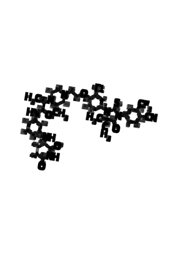 CCc1cc(N2C(=S)N(c3ccc(C#N)c(C(F)(F)F)c3)C(=O)C2(C)C)ccc1OCCN1CCN(C(C)C(=O)Nc2cccc(NC3CCC(=O)NC3=O)c2)[C@@H](C)C1